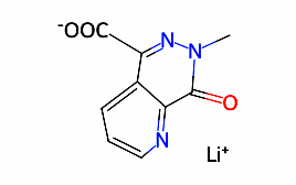 Cn1nc(C(=O)[O-])c2cccnc2c1=O.[Li+]